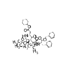 CC(C)C(CC(=O)[C@H](CC(=O)OC1CCCCC1)NC(=O)OC(C)(C)C)C(=O)N[C@@H](Cc1ccccc1)C(=O)OCc1ccccc1